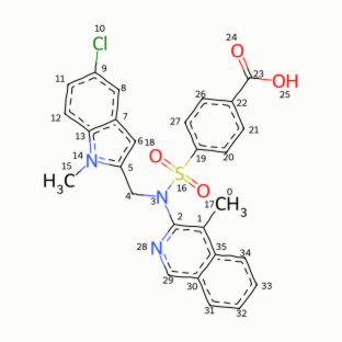 Cc1c(N(Cc2cc3cc(Cl)ccc3n2C)S(=O)(=O)c2ccc(C(=O)O)cc2)ncc2ccccc12